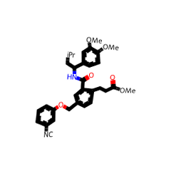 [C-]#[N+]c1cccc(OCc2ccc(CCC(=O)OC)c(C(=O)NC(CC(C)C)c3ccc(OC)c(OC)c3)c2)c1